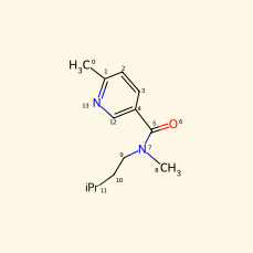 Cc1ccc(C(=O)N(C)CCC(C)C)cn1